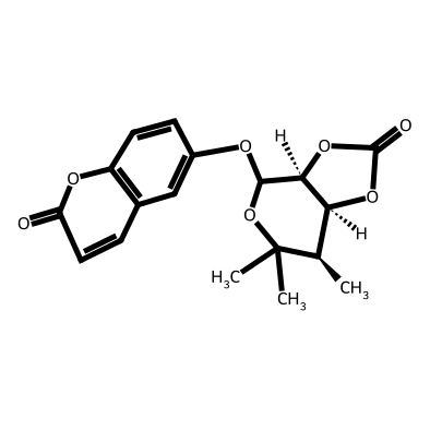 C[C@@H]1[C@@H]2OC(=O)O[C@@H]2C(Oc2ccc3oc(=O)ccc3c2)OC1(C)C